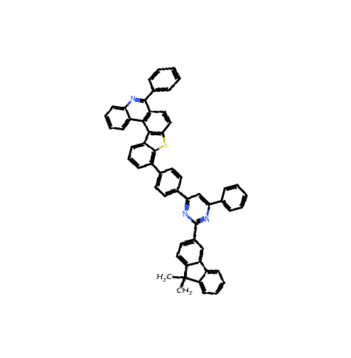 CC1(C)c2ccccc2-c2cc(-c3nc(-c4ccccc4)cc(-c4ccc(-c5cccc6c5sc5ccc7c(-c8ccccc8)nc8ccccc8c7c56)cc4)n3)ccc21